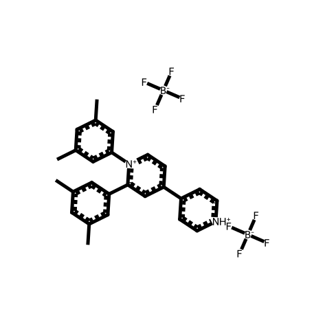 Cc1cc(C)cc(-c2cc(-c3cc[nH+]cc3)cc[n+]2-c2cc(C)cc(C)c2)c1.F[B-](F)(F)F.F[B-](F)(F)F